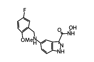 COc1ccc(F)cc1CNc1ccc2[nH]nc(C(=O)NO)c2c1